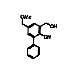 COCc1cc(CO)c(O)c(-c2ccccc2)c1